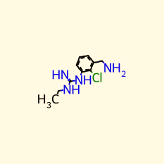 CCNC(=N)Nc1cccc(CN)c1Cl